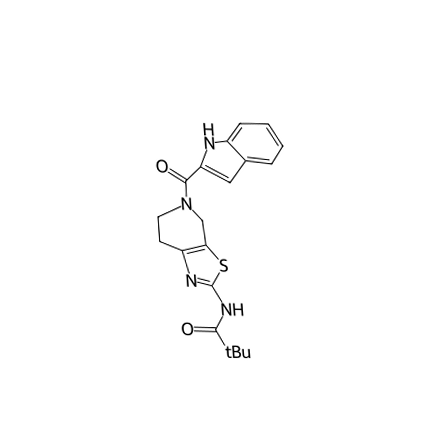 CC(C)(C)C(=O)Nc1nc2c(s1)CN(C(=O)c1cc3ccccc3[nH]1)CC2